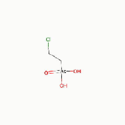 O=[As](O)(O)CCCl